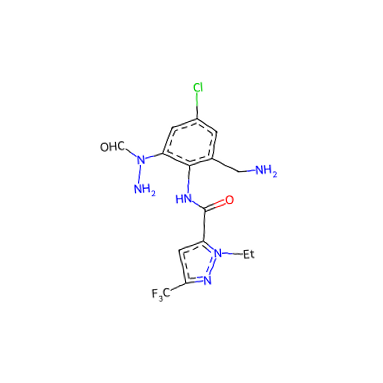 CCn1nc(C(F)(F)F)cc1C(=O)Nc1c(CN)cc(Cl)cc1N(N)C=O